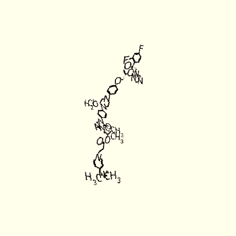 C[N+](C)=c1ccn(CCC(=O)OC(Cn2ncn(-c3ccc(N4CCN(c5ccc(OC[C@@H]6CO[C@@](Cn7cncn7)(c7ccc(F)cc7F)O6)cc5)CC4)cc3)c2=O)C(C)(C)C)cc1.O.[Cl-]